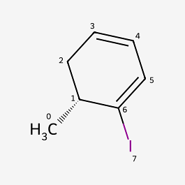 C[C@@H]1CC=CC=C1I